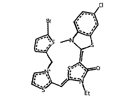 CCn1c(=O)/c(=C2\Sc3cc(Cl)ccc3N2C)s/c1=C\c1scc[n+]1Cc1ccc(Br)s1